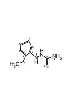 CCc1ccccc1NNC(N)=S